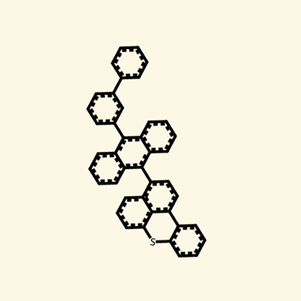 c1ccc(-c2cccc(-c3c4ccccc4c(-c4ccc5c6c(cccc46)Sc4ccccc4-5)c4ccccc34)c2)cc1